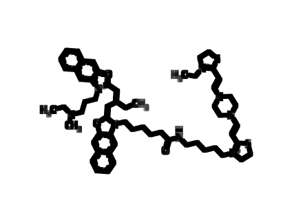 CCC(=Cc1oc2cc3ccccc3cc2[n+]1CCCN(C)CC)C=C1Oc2cc3ccccc3cc2N1CCCCCC(=O)NCCCCC[N+]1=C(C=CN2CCN(C=CC3=[N+](CC)CCS3)CC2)SCC1